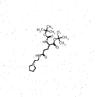 CC(C)(C)OC(=O)NC(CCC(=O)NCCN1CCCC1)C(=O)OC(C)(C)C